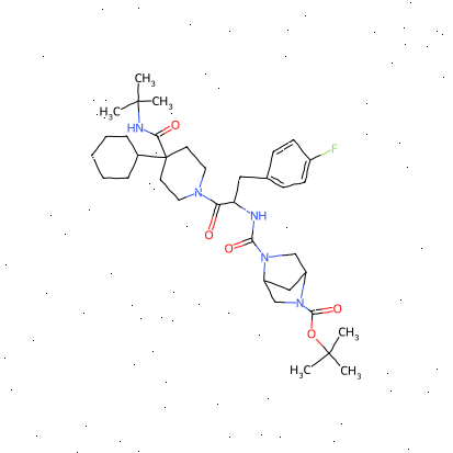 CC(C)(C)NC(=O)C1(C2CCCCC2)CCN(C(=O)C(Cc2ccc(F)cc2)NC(=O)N2CC3CC2CN3C(=O)OC(C)(C)C)CC1